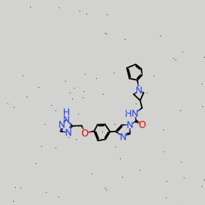 O=C(NCC1CN(c2ccccc2)C1)n1cnc(-c2ccc(OCc3ncn[nH]3)cc2)c1